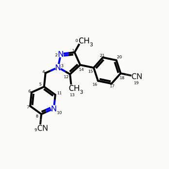 Cc1nn(Cc2ccc(C#N)nc2)c(C)c1-c1ccc(C#N)cc1